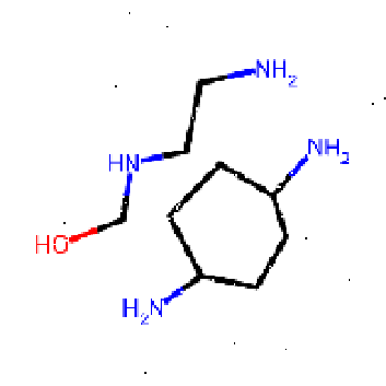 NC1CCC(N)CC1.NCCNCO